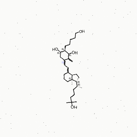 C=C1/C(=C\C=C2CCC[C@@]3(C)C2CC[C@@H]3[C@H](C)CCCC(C)(C)O)C[C@@H](O)[C@@H](CCCCCO)[C@H]1O